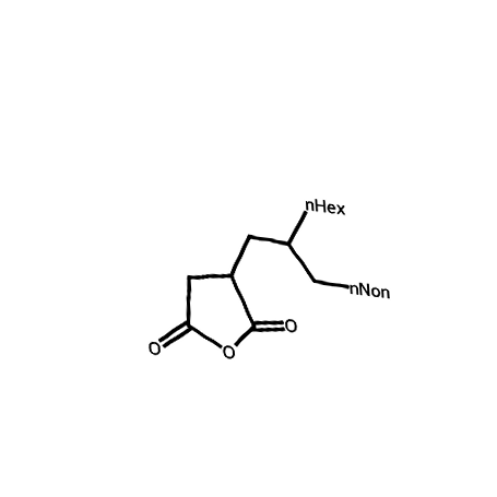 CCCCCCCCCCC(CCCCCC)CC1CC(=O)OC1=O